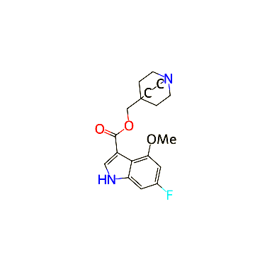 COc1cc(F)cc2[nH]cc(C(=O)OCC34CCN(CC3)CC4)c12